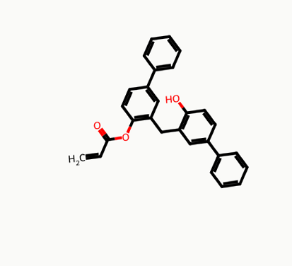 C=CC(=O)Oc1ccc(-c2ccccc2)cc1Cc1cc(-c2ccccc2)ccc1O